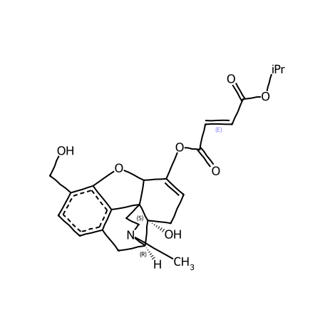 CC(C)OC(=O)/C=C/C(=O)OC1=CC[C@@]2(O)[C@H]3Cc4ccc(CO)c5c4C2(CCN3C)C1O5